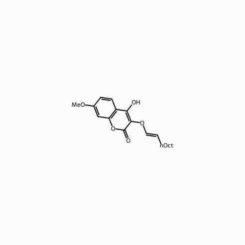 CCCCCCCC/C=C/Oc1c(O)c2ccc(OC)cc2oc1=O